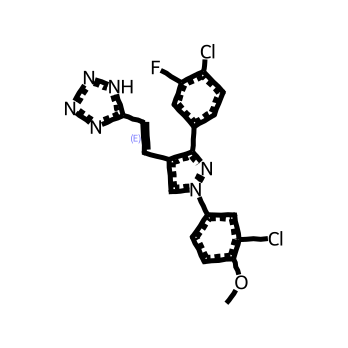 COc1ccc(-n2cc(/C=C/c3nnn[nH]3)c(-c3ccc(Cl)c(F)c3)n2)cc1Cl